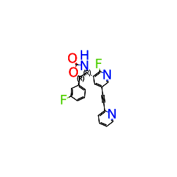 O=C1N[C@H](c2cc(C#Cc3ccccn3)cnc2F)[C@@H](c2cccc(F)c2)O1